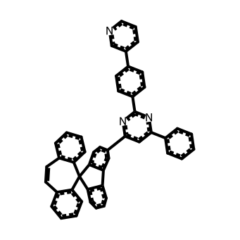 C1=Cc2ccccc2C2(c3ccccc31)c1ccccc1-c1cc(-c3cc(-c4ccccc4)nc(-c4ccc(-c5cccnc5)cc4)n3)ccc12